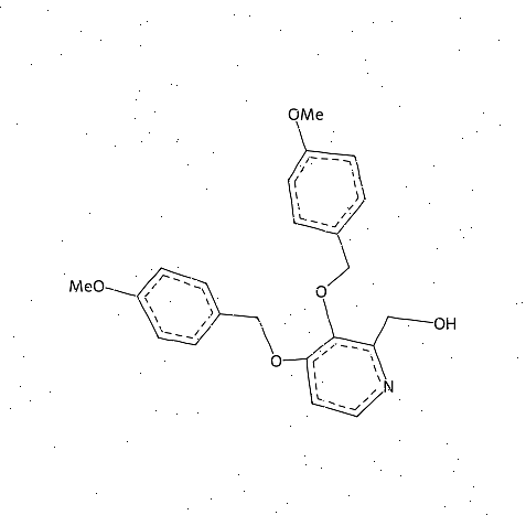 COc1ccc(COc2ccnc(CO)c2OCc2ccc(OC)cc2)cc1